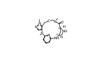 CN1CCCc2c(cnn2C)N(C)c2cccc(n2)N[C@@H]2CN[C@@H](C2)C1=O